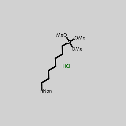 CCCCCCCCCCCCCCCC[Si](OC)(OC)OC.Cl